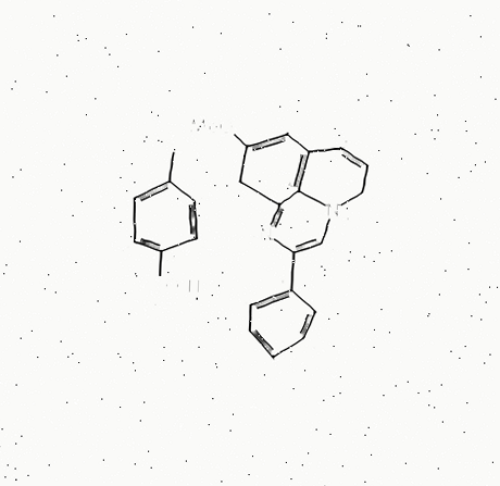 COC1=CC2=C3C(=NC(c4ccccc4)=CN3CC=C2)C1.Cc1ccc(S(=O)(=O)O)cc1